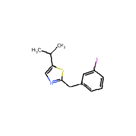 CC(C)c1cnc(Cc2cccc(I)c2)s1